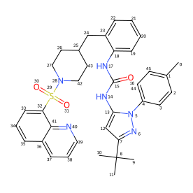 Cc1ccc(-n2nc(C(C)(C)C)cc2NC(=O)Nc2ccccc2CC2CCN(S(=O)(=O)c3cccc4cccnc34)CC2)cc1